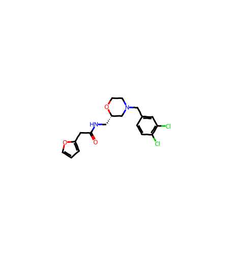 O=C(Cc1ccco1)NC[C@H]1CN(Cc2ccc(Cl)c(Cl)c2)CCO1